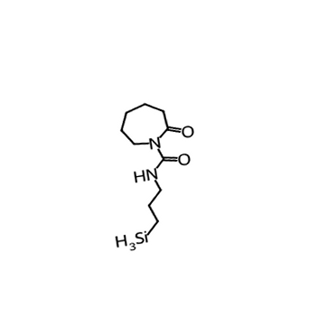 O=C1CCCCCN1C(=O)NCCC[SiH3]